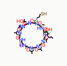 C/C=C/C[C@@H](C)[C@@H](O)[C@H]1C(=O)N[C@@H](CC)C(=O)N(C)[C@H](CSCCCS)C(=O)N(C)[C@@H](CC(C)(C)O)C(=O)N[C@@H](C(C)C)C(=O)N(C)[C@@H](CC(C)C)C(=O)N[C@@H](C)C(=O)N[C@H](C)C(=O)N(C)[C@@H](CC(C)C)C(=O)N(C)[C@@H](CC(C)C)C(=O)N(C)[C@@H](C(C)C)C(=O)N1C